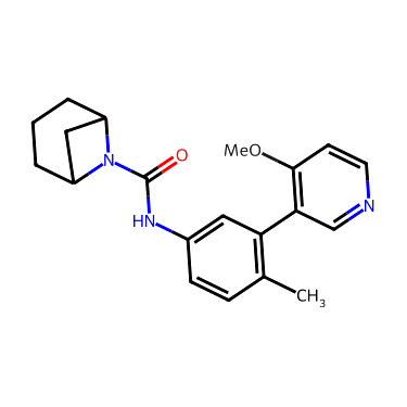 COc1ccncc1-c1cc(NC(=O)N2C3CCCC2C3)ccc1C